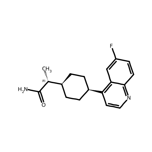 C[C@@H](C(N)=O)[C@H]1CC[C@@H](c2ccnc3ccc(F)cc32)CC1